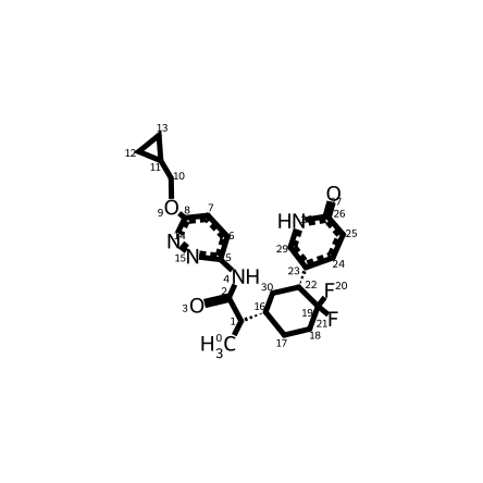 CC(C(=O)Nc1ccc(OCC2CC2)nn1)[C@H]1CCC(F)(F)[C@@H](c2ccc(=O)[nH]c2)C1